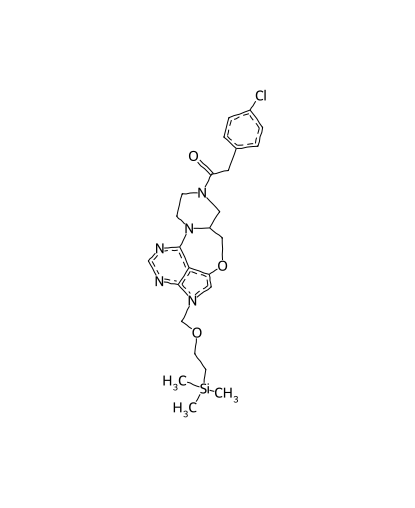 C[Si](C)(C)CCOCn1cc2c3c(ncnc31)N1CCN(C(=O)Cc3ccc(Cl)cc3)CC1CO2